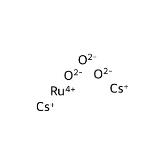 [Cs+].[Cs+].[O-2].[O-2].[O-2].[Ru+4]